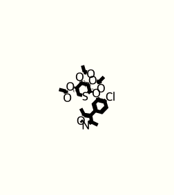 CC(=O)O[C@@H]1[C@@H](OC(C)=O)[C@@H](Oc2cc(-c3c(C)noc3C)ccc2Cl)SC[C@H]1OC(C)=O